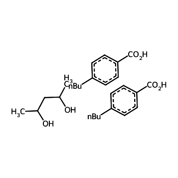 CC(O)CC(C)O.CCCCc1ccc(C(=O)O)cc1.CCCCc1ccc(C(=O)O)cc1